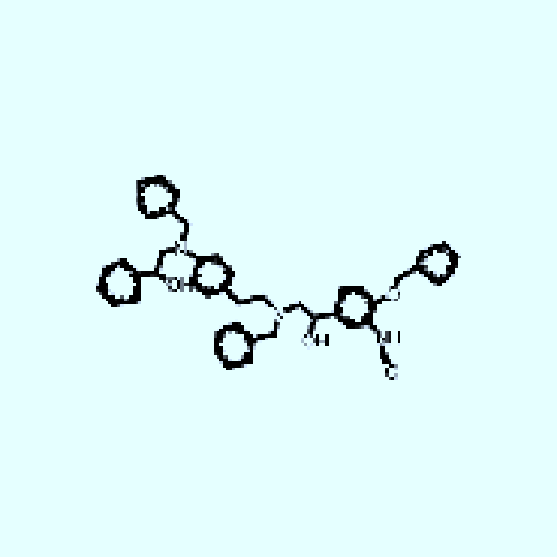 O=CNc1cc(C(O)CN(CCc2ccc(N(Cc3ccccc3)CC(O)c3ccccc3)cc2)Cc2ccccc2)ccc1OCc1ccccc1